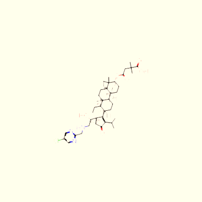 CC(C)C1=C2[C@H]3CC[C@@H]4[C@@]5(C)CC[C@H](OC(=O)CC(C)(C)C(=O)O)C(C)(C)[C@@H]5CC[C@@]4(C)[C@]3(C)CC[C@@]2([C@H](O)CNCc2ncc(Cl)cn2)CC1=O